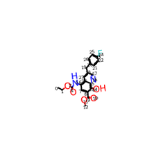 CCOC(=O)Nc1cc(C(=O)OC)c(O)c2ncc(Cc3ccc(F)cc3)cc12